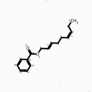 CC/C=C\CC/C=C/COC(=O)c1ccccc1